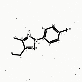 CCc1nn(-c2ccc(F)cc2)nc1C